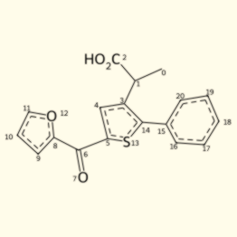 CC(C(=O)O)c1cc(C(=O)c2ccco2)sc1-c1ccccc1